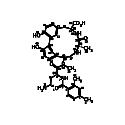 Cc1ccc(C(=O)N[C@@H](CCN)C(=O)N(C)[C@@H]2CN[C@@H](C)C(=O)N[C@H](C(=O)O)Cc3ccc(O)c(c3)-c3cc2ccc3O)c(C)c1